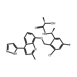 Cc1cc(-c2ccn[nH]2)c2cccc(OCc3c(Cl)cc(F)cc3[C@H](C)NC(=O)[C@@H](C)O)c2n1